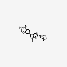 O=C1NCCOc2cc(-c3c[nH]c4nc(NCC5(C(F)(F)F)CC5)ncc34)ccc21